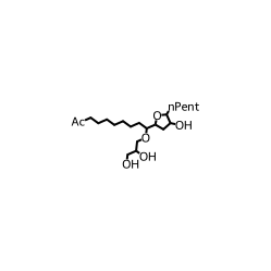 CCCCCC1OC(C(CCCCCCCC(C)=O)OCC(O)CO)CC1O